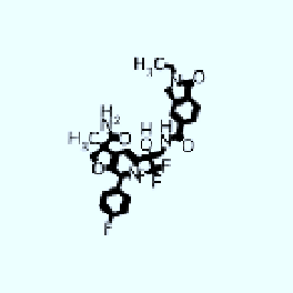 CCN1Cc2cc(C(=O)NC[C@](O)(c3cc4c(c(-c5ccc(F)cc5)n3)OC[C@]4(C)C(N)=O)C(F)(F)F)ccc2C1=O